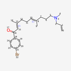 C=CCN(C)CCC/C(C)=C/CC/C(C)=C/C(=O)c1ccc(Br)cc1